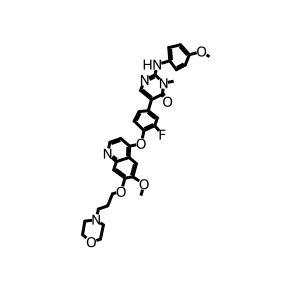 COc1ccc(Nc2ncc(-c3ccc(Oc4ccnc5cc(OCCCN6CCOCC6)c(OC)cc45)c(F)c3)c(=O)n2C)cc1